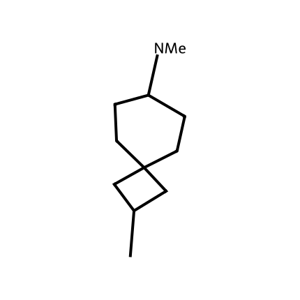 CNC1CCC2(CC1)CC(C)C2